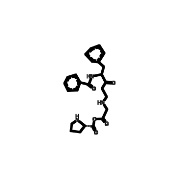 O=C(CNCCC(=O)C(Cc1ccccc1)NC(=O)c1ccccc1)OC(=O)[C@@H]1CCCN1